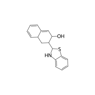 OC1C=C2C=CC=CC2CC1C1Nc2ccccc2S1